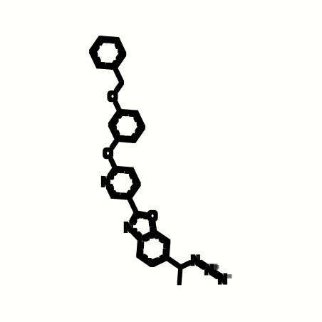 CC(N=[N+]=[N-])c1ccc2nc(-c3ccc(Oc4cccc(OCc5ccccc5)c4)nc3)oc2c1